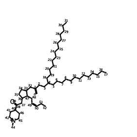 C=C(CCC(CCCCCCCCCCCCC)CCCCCCCCCCCCCC)CC1CCC(CC(=O)C2CCN(C)CC2)C1C/C=C\CC